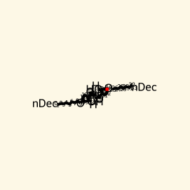 CCCCCCCCCCCCCCCCCCOc1ccc(C(=O)NNC(=O)c2ccc(OCCCCCCCCCCCCCCCCCC)cc2O)c(O)c1